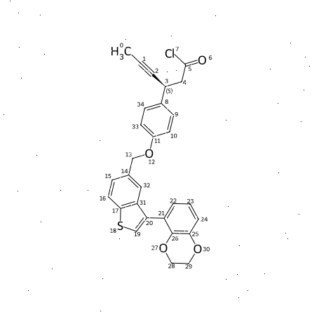 CC#C[C@@H](CC(=O)Cl)c1ccc(OCc2ccc3scc(-c4cccc5c4OCCO5)c3c2)cc1